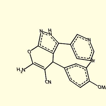 COc1ccc(C2C(C#N)=C(N)Oc3n[nH]c(-c4cccnc4)c32)cc1Br